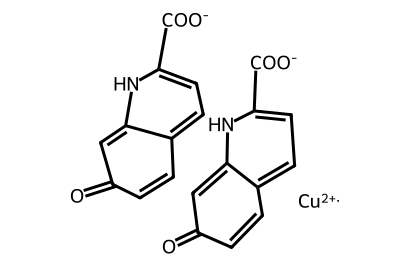 O=C([O-])c1ccc2ccc(=O)cc-2[nH]1.O=C([O-])c1ccc2ccc(=O)cc-2[nH]1.[Cu+2]